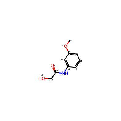 COc1cccc(NC(=O)CO)c1